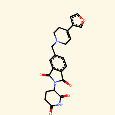 O=C1CCC(N2C(=O)c3ccc(CN4CC=C(c5ccoc5)CC4)cc3C2=O)C(=O)N1